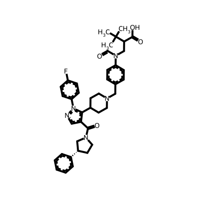 CC(C)(C)C(CN(C=O)c1ccc(CN2CCC(c3c(C(=O)N4CC[C@H](c5ccccc5)C4)cnn3-c3ccc(F)cc3)CC2)cc1)C(=O)O